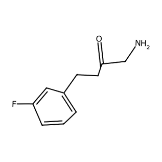 NCC(=O)CCc1cccc(F)c1